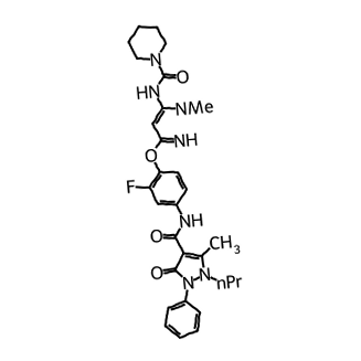 CCCn1c(C)c(C(=O)Nc2ccc(OC(=N)/C=C(\NC)NC(=O)N3CCCCC3)c(F)c2)c(=O)n1-c1ccccc1